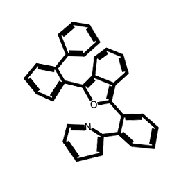 c1ccc(-c2ccccc2-c2oc(-c3ccccc3-c3ccccn3)c3ccccc23)cc1